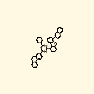 c1ccc(C2N=C(c3ccc4c(ccc5ccccc54)c3)N=C(c3cccc4oc5c(-c6ccc7ccccc7c6)cccc5c34)N2)cc1